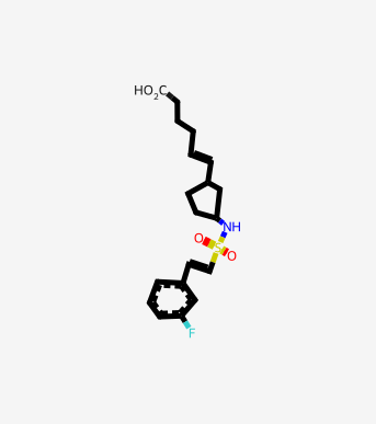 O=C(O)CCC/C=C/C1CCC(NS(=O)(=O)/C=C/c2cccc(F)c2)C1